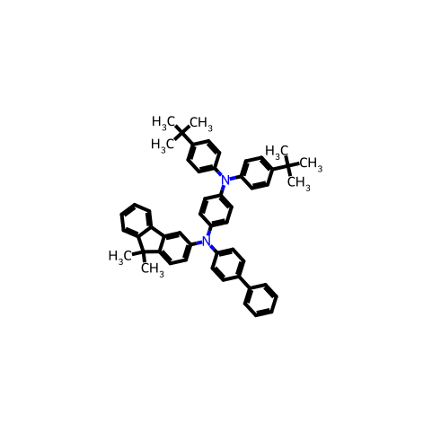 CC(C)(C)c1ccc(N(c2ccc(N(c3ccc(-c4ccccc4)cc3)c3ccc4c(c3)-c3ccccc3C4(C)C)cc2)c2ccc(C(C)(C)C)cc2)cc1